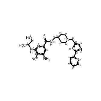 CC(CO)Nc1nc(C(=O)NCC2CCN(Cc3cnc(-c4ccccn4)s3)CC2)cc(N)c1C#N